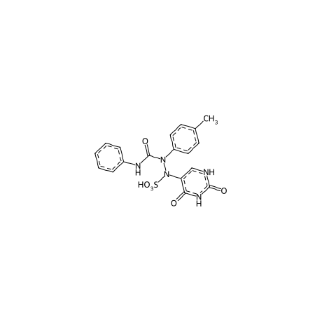 Cc1ccc(N(C(=O)Nc2ccccc2)N(c2c[nH]c(=O)[nH]c2=O)S(=O)(=O)O)cc1